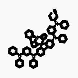 C#C/C=C(\C=C/C)N(c1ccccc1)c1cccc(N(c2ccccc2)c2ccc3c(c2)C2(c4cc(N(c5ccccc5)c5cccc(N(c6ccccc6)c6ccccc6)c5)ccc4-3)c3ccccc3-n3c4ccccc4c4cccc2c43)c1